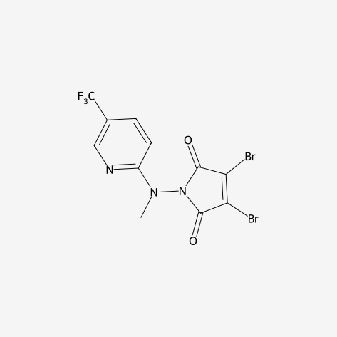 CN(c1ccc(C(F)(F)F)cn1)N1C(=O)C(Br)=C(Br)C1=O